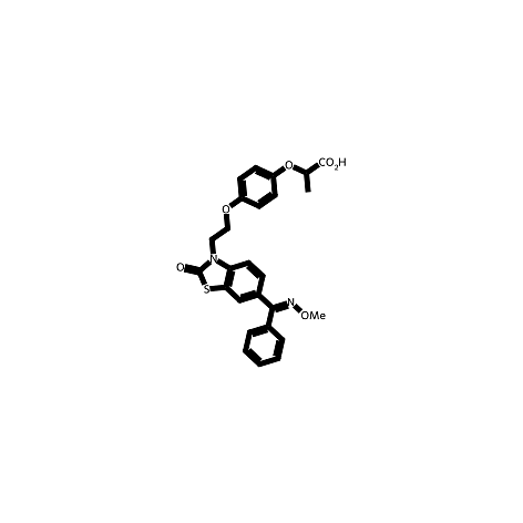 CON=C(c1ccccc1)c1ccc2c(c1)sc(=O)n2CCOc1ccc(OC(C)C(=O)O)cc1